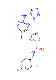 Cc1cnc(Nc2ccnn2C)nc1-c1coc(C(=O)NCc2ccc(F)cc2F)n1